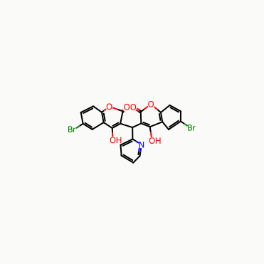 O=c1oc2ccc(Br)cc2c(O)c1C(c1ccccn1)c1c(O)c2cc(Br)ccc2oc1=O